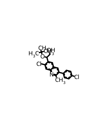 Cc1nc2cc(Cl)c(C(CO)OC(C)(C)C)cc2cc1-c1ccc(Cl)cc1